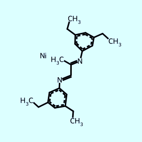 CCc1cc(CC)cc(/N=C/C(C)=N/c2cc(CC)cc(CC)c2)c1.[Ni]